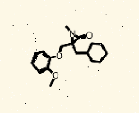 COc1ccccc1OCC1(CC2CCCCC2)C(=O)N1C